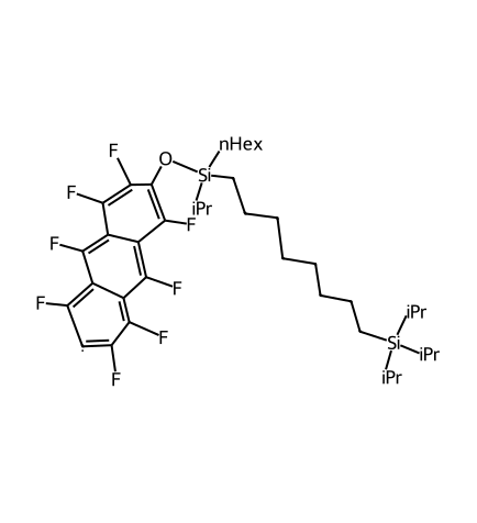 CCCCCC[Si](CCCCCCCC[Si](C(C)C)(C(C)C)C(C)C)(Oc1c(F)c(F)c2c(F)c3c(F)[c]c(F)c(F)c3c(F)c2c1F)C(C)C